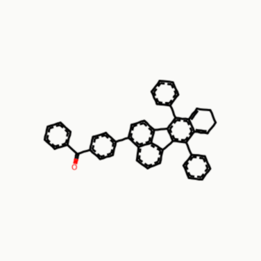 O=C(c1ccccc1)c1ccc(-c2ccc3c4c(cccc24)-c2c-3c(-c3ccccc3)c3c(c2-c2ccccc2)=CCCC=3)cc1